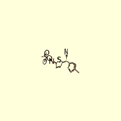 Cc1ccc(/C(C#N)=C2\C=CC(=NOS(C)(=O)=O)S2)cc1